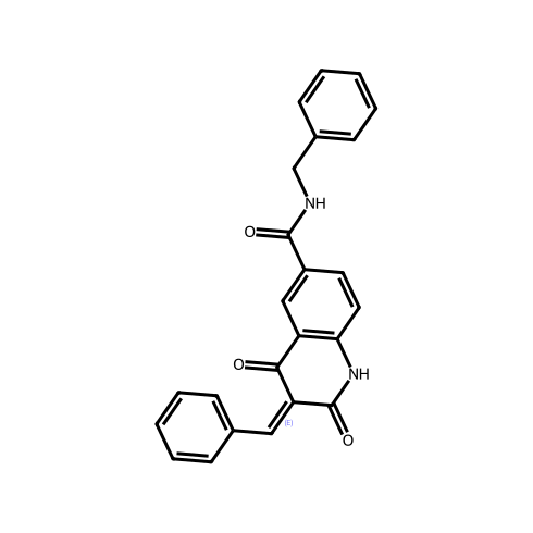 O=C1Nc2ccc(C(=O)NCc3ccccc3)cc2C(=O)/C1=C\c1ccccc1